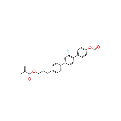 C=C(C)C(=O)OCCCc1ccc(-c2ccc(-c3ccc(OC=O)cc3)c(F)c2)cc1